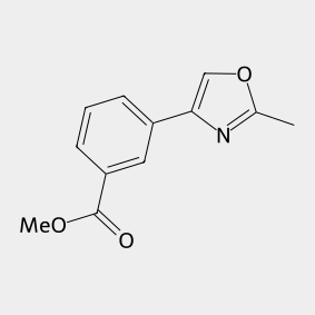 COC(=O)c1cccc(-c2coc(C)n2)c1